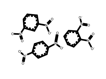 O=[N+]([O-])c1ccc([N+](=O)[O-])cc1.O=[N+]([O-])c1cccc([N+](=O)[O-])c1.O=[N+]([O-])c1ccccc1[N+](=O)[O-]